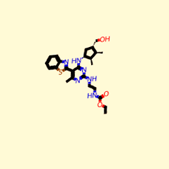 CCOC(=O)NCCNc1nc(C)c(-c2nc3ccccc3s2)c(N[C@@H]2C[C@H](CO)[C@@H](C)[C@H]2C)n1